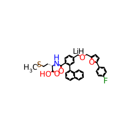 CSCC[C@H](NC(=O)c1ccc(COCc2ccc(-c3ccc(F)cc3)o2)cc1-c1cccc2ccccc12)C(=O)O.[LiH]